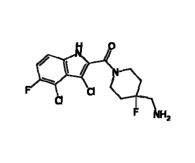 NCC1(F)CCN(C(=O)c2[nH]c3ccc(F)c(Cl)c3c2Cl)CC1